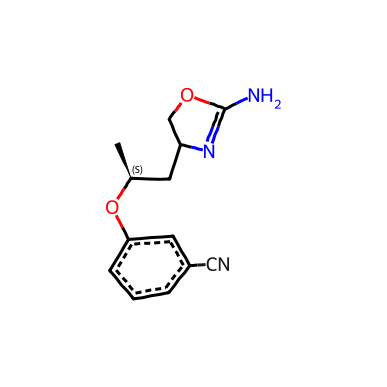 C[C@@H](CC1COC(N)=N1)Oc1cccc(C#N)c1